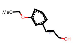 COCOc1cccc(/C=C/CO)c1